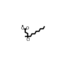 CCCCCCCCC(C)(Cl)CCC(=O)OC